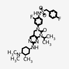 CC(C)N1C(=O)N(c2ccc(NS(=O)(=O)Cc3ccc(F)cc3)c(F)c2)Cc2cnc(N[C@@H]3CC[C@@H](N(C)C)[C@@H](C)C3)nc21